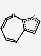 C1=CC=Cc2ccsc2N=1